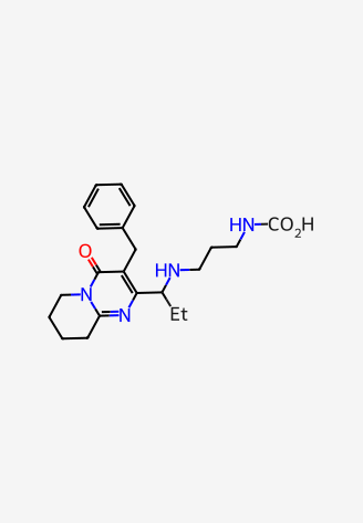 CCC(NCCCNC(=O)O)c1nc2n(c(=O)c1Cc1ccccc1)CCCC2